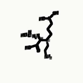 Cl.Cl.NCC[C@@H](CCCB(O)O)[C@H](N)C(=O)O